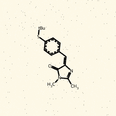 CC1=NC(=Cc2ccc(SC(C)(C)C)cc2)C(=O)N1C